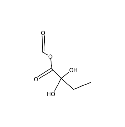 CCC(O)(O)C(=O)OC=O